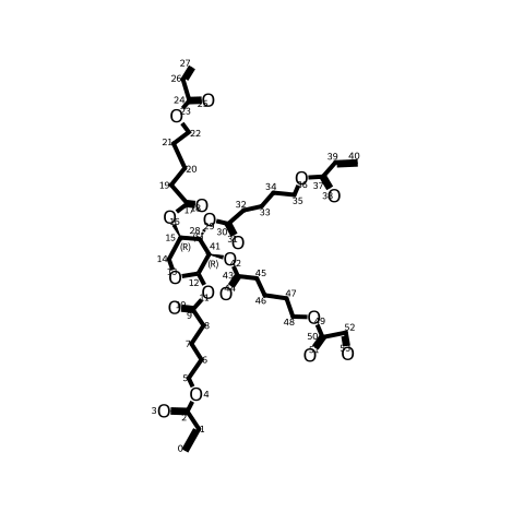 C=CC(=O)OCCCCC(=O)OC1OC[C@@H](OC(=O)CCCCOC(=O)C=C)[C@H](OC(=O)CCCCOC(=O)C=C)[C@H]1OC(=O)CCCCOC(=O)C=O